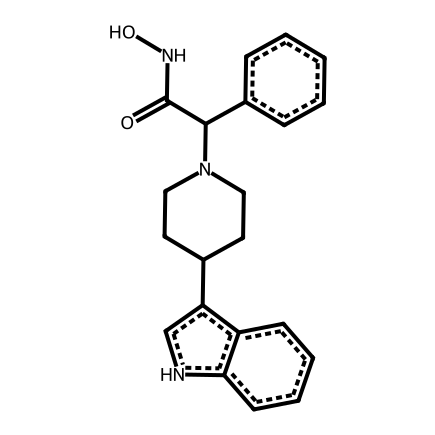 O=C(NO)C(c1ccccc1)N1CCC(c2c[nH]c3ccccc23)CC1